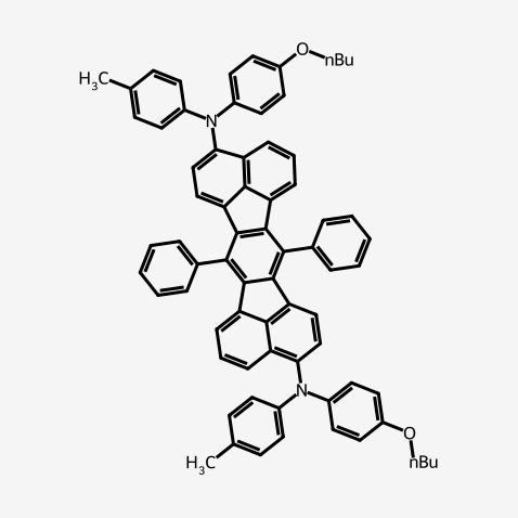 CCCCOc1ccc(N(c2ccc(C)cc2)c2ccc3c4c(-c5ccccc5)c5c6cccc7c(N(c8ccc(C)cc8)c8ccc(OCCCC)cc8)ccc(c5c(-c5ccccc5)c4c4cccc2c43)c76)cc1